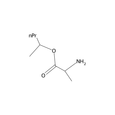 CCCC(C)OC(=O)C(C)N